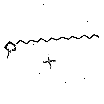 CCCCCCCCCCCCCCCCn1cc[n+](C)c1.F[B-](F)(F)F